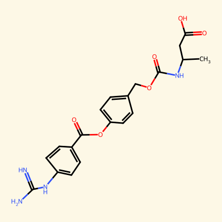 CC(CC(=O)O)NC(=O)OCc1ccc(OC(=O)c2ccc(NC(=N)N)cc2)cc1